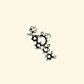 COC(=O)Nc1ccc2c(c1)NC(=O)[C@H](C)CCC[C@H](N1CC[C@@H](c3nccc(Cl)c3F)OC1=O)c1cc-2ccn1